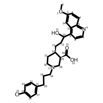 COc1ccc2nccc(C(O)CC[C@@H]3CCN(CCCc4ccc(Cl)cc4)C[C@@H]3C(=O)O)c2c1